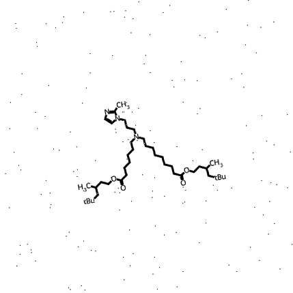 Cc1nccn1CCCN(CCCCCCCCC(=O)OCCC(C)CC(C)(C)C)CCCCCCC(=O)OCCC(C)CC(C)(C)C